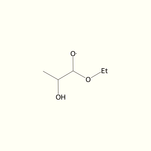 CCOC([O])C(C)O